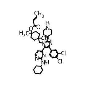 C/C=C/C(=O)OC1(C)CCC(C)(Cn2c(C3CCNCC3)nc(-c3ccc(Cl)c(Cl)c3)c2-c2ccnc(NC3CCCCC3)n2)CC1